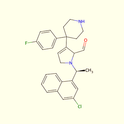 C[C@@H](c1cc(Cl)cc2ccccc12)N1CC=C(C2(c3ccc(F)cc3)CCNCC2)C1C=O